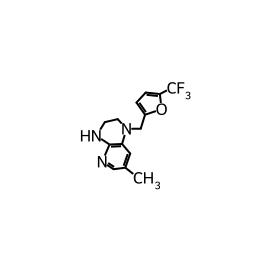 Cc1cnc2c(c1)N(Cc1ccc(C(F)(F)F)o1)CCN2